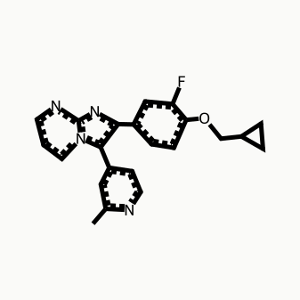 Cc1cc(-c2c(-c3ccc(OCC4CC4)c(F)c3)nc3ncccn23)ccn1